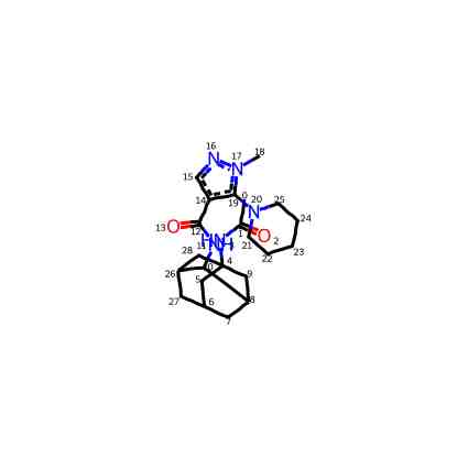 CC(=O)NC12CC3CC(C1)C(NC(=O)c1cnn(C)c1N1CCCCC1)C(C3)C2